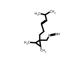 CC(C)/C=C/CCC1(CN=N)C(C)[C@H]1C